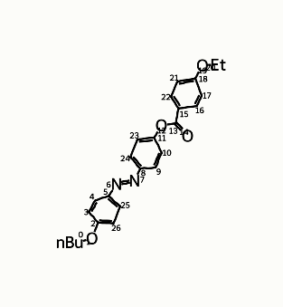 CCCCOc1ccc(N=Nc2ccc(OC(=O)c3ccc(OCC)cc3)cc2)cc1